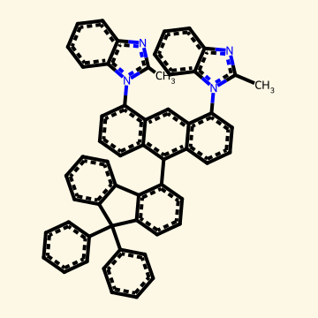 Cc1nc2ccccc2n1-c1cccc2c(-c3cccc4c3-c3ccccc3C4(c3ccccc3)c3ccccc3)c3cccc(-n4c(C)nc5ccccc54)c3cc12